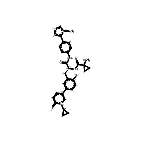 Cn1cnnc1-c1ccc(NC(=O)[C@H](Cc2cc(-c3ccc(=O)n(C4CC4)c3)ccc2Cl)NC(=O)C2(C)CC2)cc1